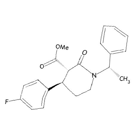 COC(=O)[C@@H]1C(=O)N([C@@H](C)c2ccccc2)CC[C@H]1c1ccc(F)cc1